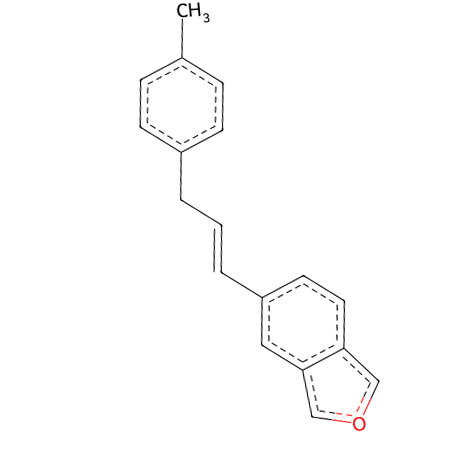 Cc1ccc(CC=Cc2ccc3cocc3c2)cc1